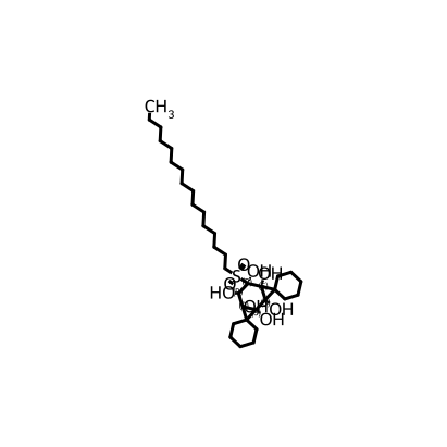 CCCCCCCCCCCCCCCCS(=O)(=O)[C@]1(O)[C@H](O)[C@]2(O)C3(CCCCC3)[C@@]2(O)[C@@]2(O)C3(CCCCC3)[C@]21O